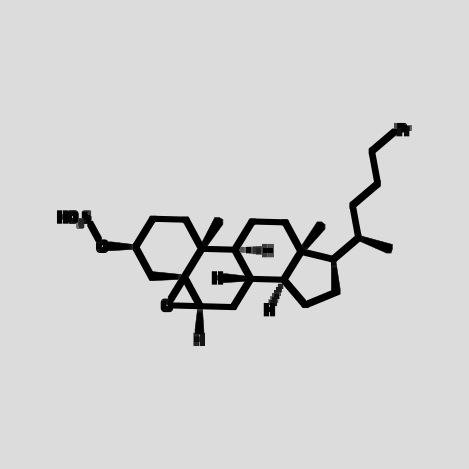 CC(C)CCC[C@@H](C)[C@H]1CC[C@H]2[C@@H]3C[C@@H]4O[C@@]45C[C@@H](OS(=O)(=O)O)CC[C@]5(C)[C@H]3CC[C@]12C